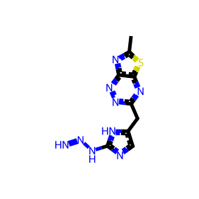 Cc1nc2nnc(Cc3cnc(NN=N)[nH]3)nc2s1